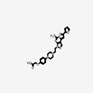 Nc1nc2c(cnn2CCN2CCN(c3ccc(OCC(=O)O)cc3)CC2)c2cc(-c3ccco3)nn12